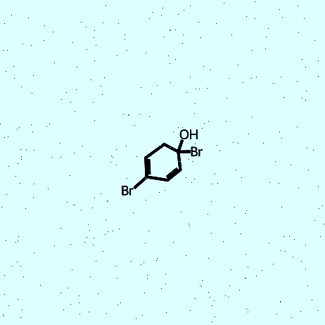 OC1(Br)C=CC(Br)=CC1